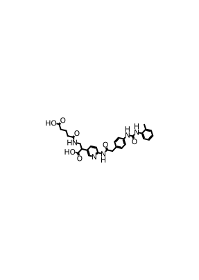 Cc1ccccc1NC(=O)Nc1ccc(CC(=O)Nc2ccc(C(CNC(=O)CCCC(=O)O)C(=O)O)cn2)cc1